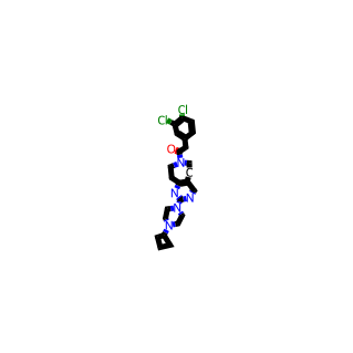 O=C(Cc1ccc(Cl)c(Cl)c1)N1CCc2cnc(N3CCN(C4CCC4)CC3)nc2CC1